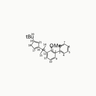 COc1c(-c2ccccc2)cccc1C(C)(C)C1=CCC(C(C)(C)C)=C1